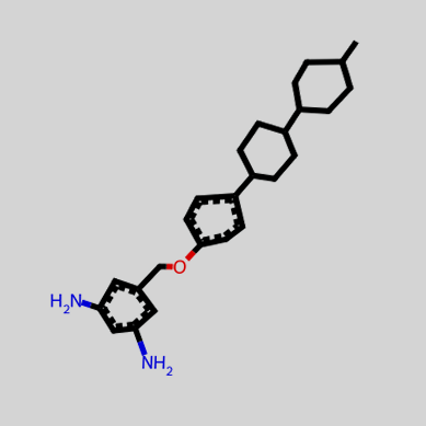 CC1CCC(C2CCC(c3ccc(OCc4cc(N)cc(N)c4)cc3)CC2)CC1